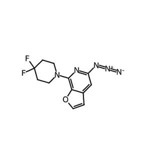 [N-]=[N+]=Nc1cc2ccoc2c(N2CCC(F)(F)CC2)n1